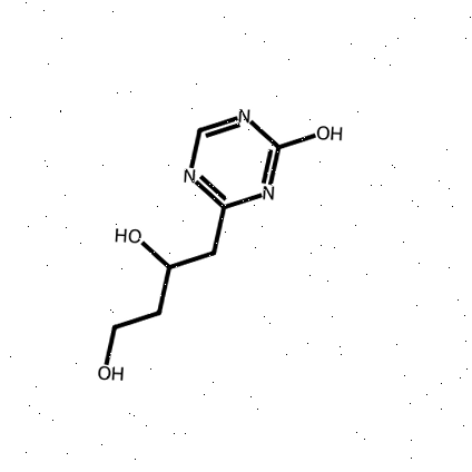 OCCC(O)Cc1ncnc(O)n1